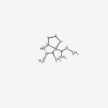 COC(C)[N+]1(C(C)OC)CCCC1O